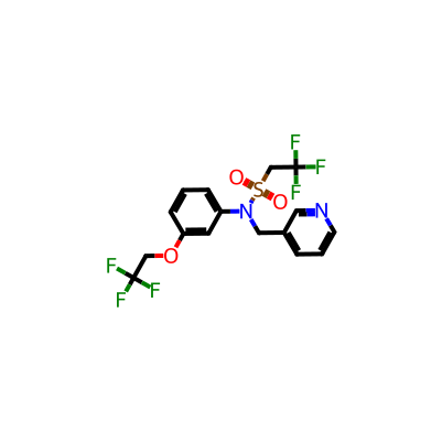 O=S(=O)(CC(F)(F)F)N(Cc1cccnc1)c1cccc(OCC(F)(F)F)c1